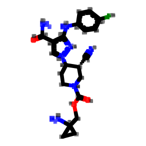 N#C[C@@H]1CN(C(=O)OCC2(N)CC2)CC[C@H]1n1cc(C(N)=O)c(Nc2ccc(F)cc2)n1